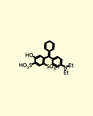 CCN(CC)c1ccc(C(=C2C=CCC=C2)c2cc(O)c(S(=O)(=O)O)cc2S(=O)(=O)O)cc1